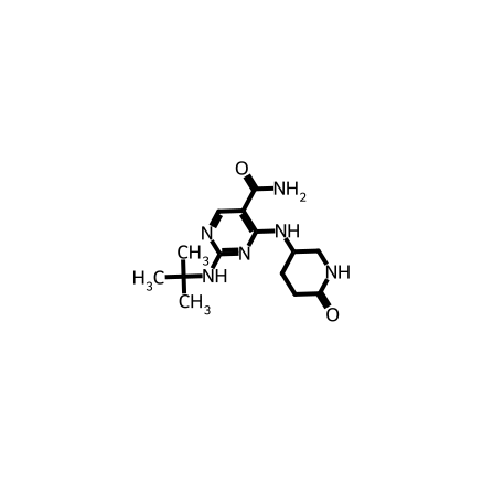 CC(C)(C)Nc1ncc(C(N)=O)c(NC2CCC(=O)NC2)n1